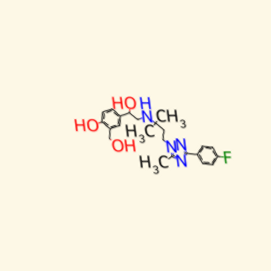 Cc1nc(-c2ccc(F)cc2)nn1CCC(C)(C)NCC(O)c1ccc(O)c(CO)c1